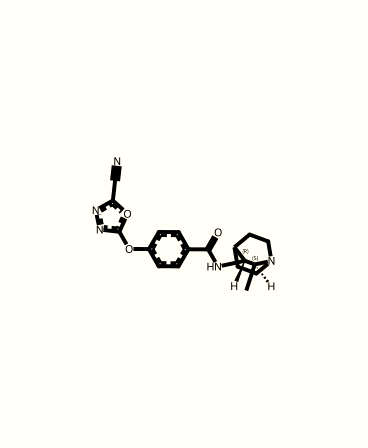 C[C@H]1[C@H](NC(=O)c2ccc(Oc3nnc(C#N)o3)cc2)C2CCN1CC2